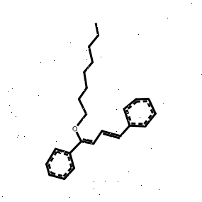 CCCCCCCCOC(=CC=Cc1ccccc1)c1ccccc1